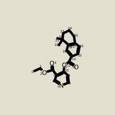 CCOC(=O)c1cnccc1OC(=O)c1ccc2c(c1)C(C)(C)CCC2